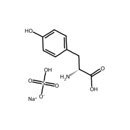 N[C@H](Cc1ccc(O)cc1)C(=O)O.O=S(=O)([O-])O.[Na+]